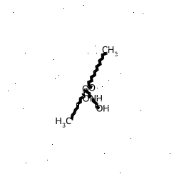 CCCCCCCCCCCCCC(=O)O[C@H](CCCCCCCCCCC)CC(=O)NCCCO